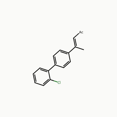 CC(=O)C=C(C)c1ccc(-c2ccccc2Cl)cc1